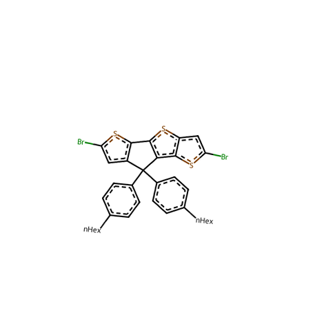 CCCCCCc1ccc(C2(c3ccc(CCCCCC)cc3)c3cc(Br)sc3-c3sc4cc(Br)sc4c32)cc1